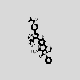 CC(C)C(=O)N1CCC(c2cc(-c3ccc(C4OCCn5c4c(C(N)=O)c(=O)n5-c4ccccc4)cc3F)c3c(N)ncnn23)CC1